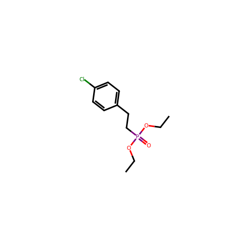 CCOP(=O)(CCc1ccc(Cl)cc1)OCC